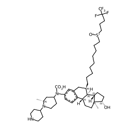 C[C@@H]1CC(N(C(=O)O)c2ccc3c(c2)C[C@@H](CCCCCCCCC[S+]([O-])CCCC(F)(F)C(F)(F)F)[C@@H]2[C@@H]3CC[C@]3(C)[C@@H](O)CC[C@@H]23)CCN1C1CCNCC1